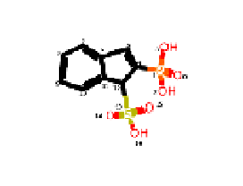 O=P(O)(O)C1=Cc2ccccc2C1S(=O)(=O)O